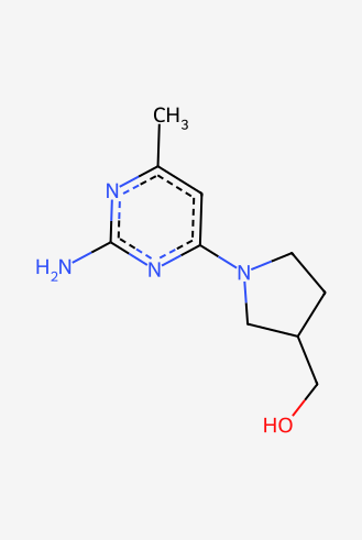 Cc1cc(N2CCC(CO)C2)nc(N)n1